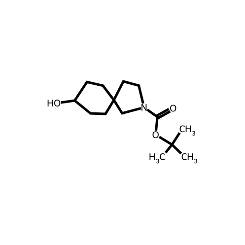 CC(C)(C)OC(=O)N1CCC2(CCC(O)CC2)C1